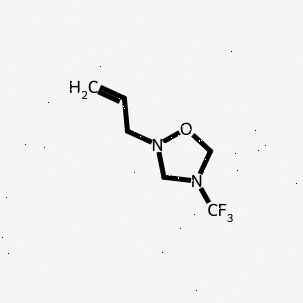 C=CCN1CN(C(F)(F)F)CO1